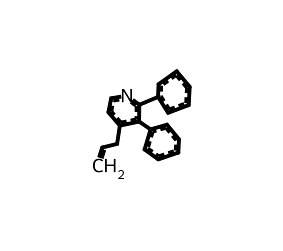 C=CCc1ccnc(-c2ccccc2)c1-c1ccccc1